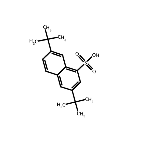 CC(C)(C)c1cc(S(=O)(=O)O)c2cc(C(C)(C)C)ccc2c1